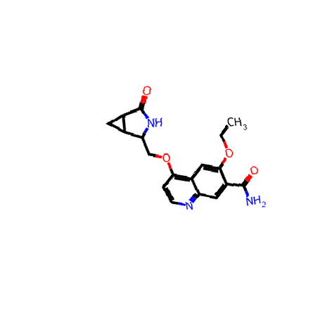 CCOc1cc2c(OCC3NC(=O)C4CC34)ccnc2cc1C(N)=O